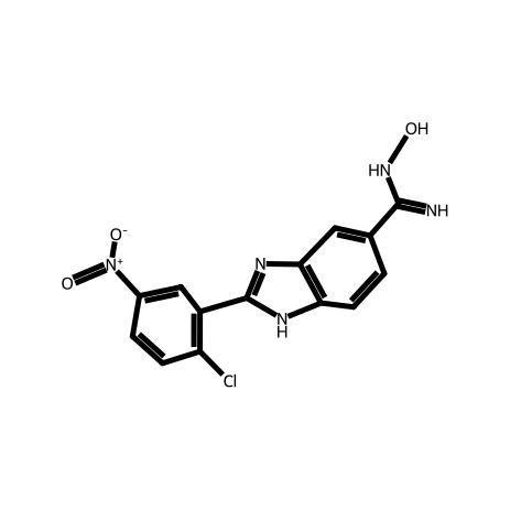 N=C(NO)c1ccc2[nH]c(-c3cc([N+](=O)[O-])ccc3Cl)nc2c1